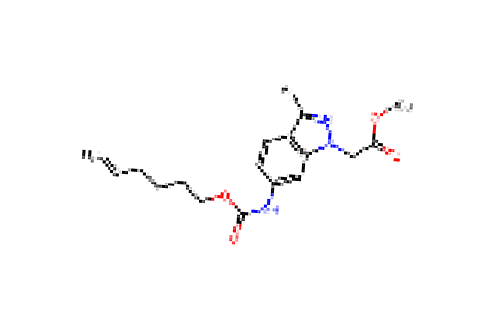 C=CCCCCOC(=O)Nc1ccc2c(C(C)=O)nn(CC(=O)OC(C)(C)C)c2c1